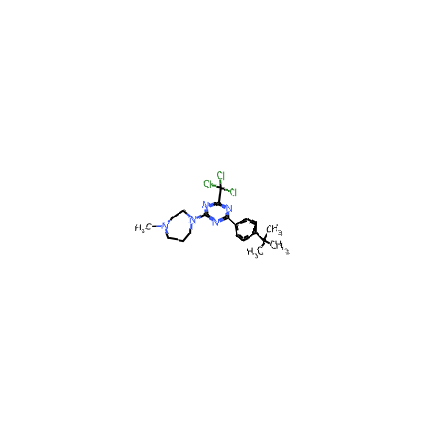 CN1CCCN(c2nc(-c3ccc(C(C)(C)C)cc3)nc(C(Cl)(Cl)Cl)n2)CC1